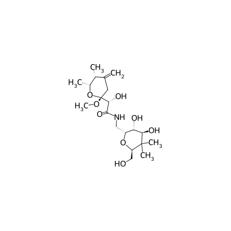 C=C1C[C@](OC)([C@H](O)C(=O)NC[C@H]2O[C@H](CO)C(C)(C)[C@H](O)[C@H]2O)O[C@H](C)[C@@H]1C